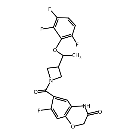 CC(Oc1c(F)ccc(F)c1F)C1CN(C(=O)c2cc3c(cc2F)OCC(=O)N3)C1